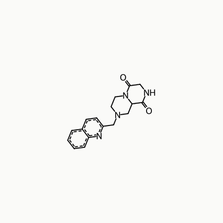 O=C1NCC(=O)N2CCN(Cc3ccc4ccccc4n3)CC12